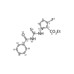 CCOC(=O)c1c(F)ccn1NC(=S)NC(=O)c1ccccc1